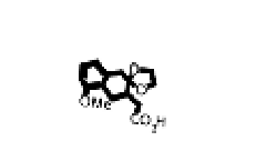 COc1cccc2c1CC(CC(=O)O)C1(C2)OCCO1